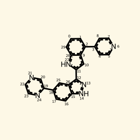 c1cc(-c2ccncc2)c2cc(-c3n[nH]c4ccc(-c5cnccn5)cc34)[nH]c2c1